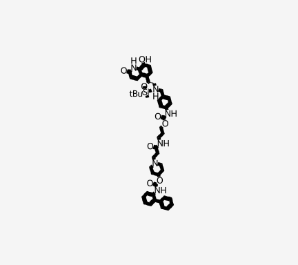 CC(C)(C)[Si](C)(C)O[C@@H](CNCc1ccc(NC(=O)OCCCNC(=O)CCN2CCC(OC(=O)Nc3ccccc3-c3ccccc3)CC2)cc1)c1ccc(O)c2[nH]c(=O)ccc12